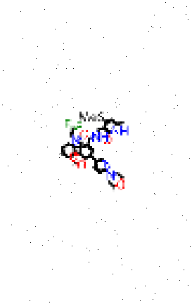 CSc1cc(C)[nH]c(=O)c1CNC(=O)C1=CC(c2ccc(N3C[C@@H](C)O[C@@H](C)C3)nc2)=C2O[C@H](C)O[C@@H]2C1(C)C1(N(C)CC(F)F)CCCCC1